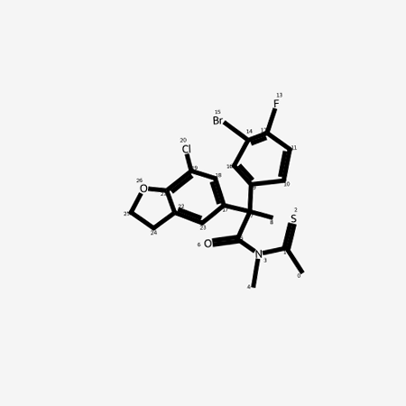 CC(=S)N(C)C(=O)C(C)(c1ccc(F)c(Br)c1)c1cc(Cl)c2c(c1)CCO2